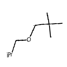 CC(C)CO[CH]C(C)(C)C